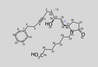 C[C@@H](CC#CCCc1ccccc1)[C@H](O)/C=C/[C@H]1CCC(=O)N1CCCCCCC(=O)O